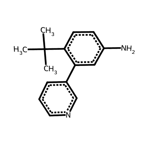 CC(C)(C)c1ccc(N)cc1-c1cccnc1